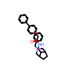 O=C(Cc1ccc(-c2ccccc2)cc1)NCC1C2CCC1CN(Cc1ccccc1)C2